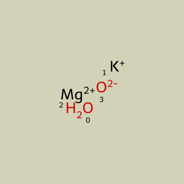 O.[K+].[Mg+2].[O-2]